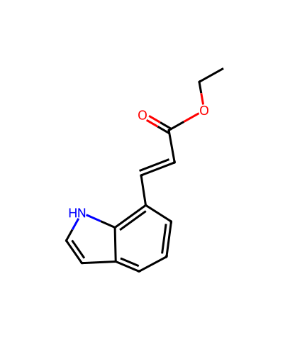 CCOC(=O)C=Cc1cccc2cc[nH]c12